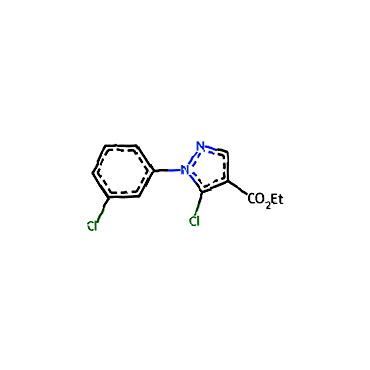 CCOC(=O)c1cnn(-c2cccc(Cl)c2)c1Cl